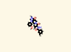 COc1cccc(N2CN(C)C(=O)C23CCN(C(=O)C(NC(=O)c2cccc(C)c2)C(C)C)CC3)c1